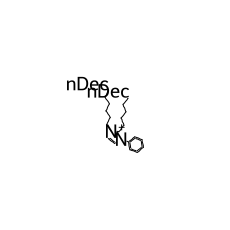 CCCCCCCCCCCCCCCC[n+]1ccn(-c2ccccc2)c1CCCCCCCCCCCCCCC